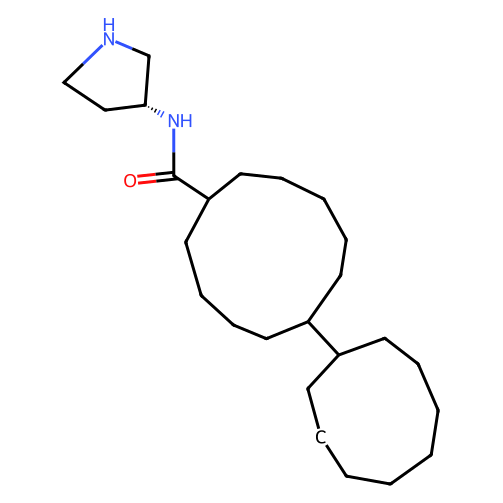 O=C(N[C@@H]1CCNC1)C1CCCCCC(C2CCCCCCCC2)CCCC1